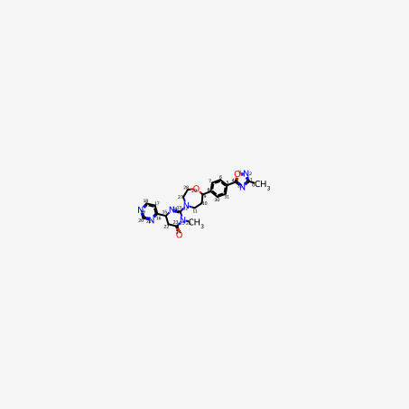 Cc1noc(-c2ccc(C3CCN(C4=NC(c5ccncn5)CC(=O)N4C)CCO3)cc2)n1